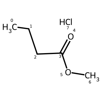 CCCC(=O)OC.Cl